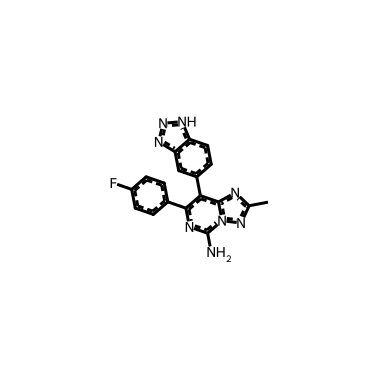 Cc1nc2c(-c3ccc4[nH]nnc4c3)c(-c3ccc(F)cc3)nc(N)n2n1